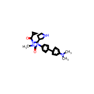 CN(C)c1ccc(-c2ccc(N3C(=O)N(C)N(C(=O)C4CC4)C3C3CCNC3)cc2)cc1